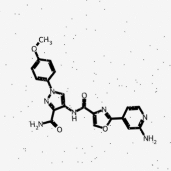 COc1ccc(-n2cc(NC(=O)c3coc(-c4ccnc(N)c4)n3)c(C(N)=O)n2)cc1